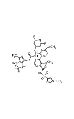 C=Cc1ccc(-c2cccc3c(NS(=O)(=O)c4cn(C)cn4)nn(C)c23)c([C@H](Cc2cc(F)cc(F)c2)NC(=O)Cn2nc(C(F)(F)F)c3c2C(F)(F)[C@@H]2C[C@H]32)n1